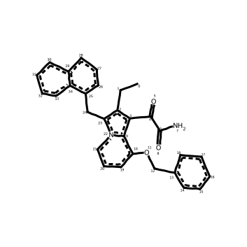 CCc1c(C(=O)C(N)=O)c2c(OCc3ccccc3)cccn2c1Cc1cccc2ccccc12